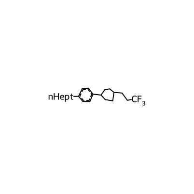 CCCCCCCc1ccc(C2CCC(CCC(F)(F)F)CC2)cc1